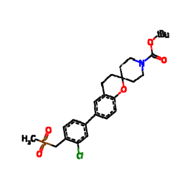 CC(C)(C)OC(=O)N1CCC2(CCc3cc(-c4ccc(CS(C)(=O)=O)c(Cl)c4)ccc3O2)CC1